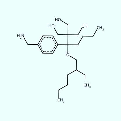 CCCCC(CC)COC(CCCC)(c1ccc(CN)cc1)C(CO)(CO)CO